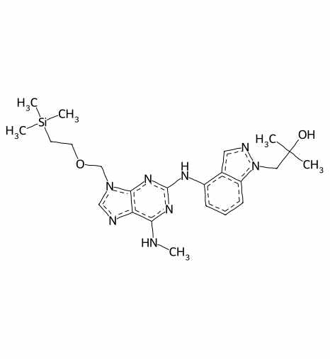 CNc1nc(Nc2cccc3c2cnn3CC(C)(C)O)nc2c1ncn2COCC[Si](C)(C)C